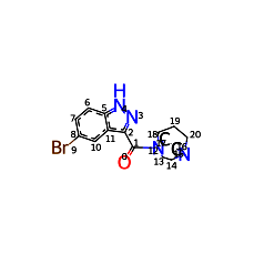 O=C(c1n[nH]c2ccc(Br)cc12)N1CCN2CCC1CC2